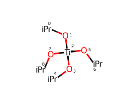 CC(C)[O][Ti-]([O]C(C)C)([O]C(C)C)[O]C(C)C